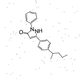 CCCC(C)c1ccc(-c2cc(=O)n(-c3ccccc3)[nH]2)cc1